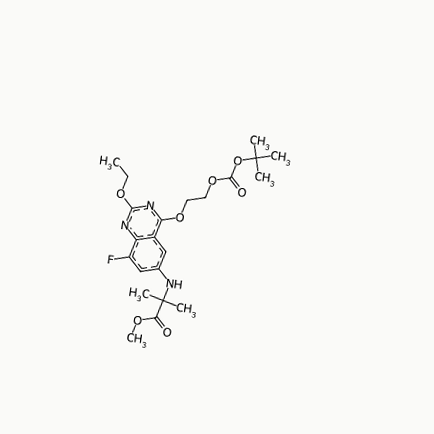 CCOc1nc(OCCOC(=O)OC(C)(C)C)c2cc(NC(C)(C)C(=O)OC)cc(F)c2n1